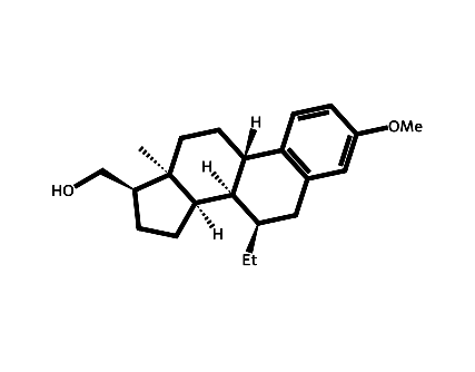 CC[C@@H]1Cc2cc(OC)ccc2[C@H]2CC[C@]3(C)[C@H](CO)CC[C@@H]3[C@H]12